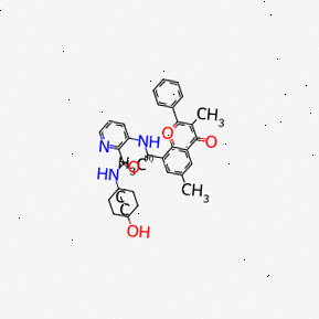 Cc1cc([C@@H](C)Nc2cccnc2C(=O)NC23CCC(O)(CC2)CC3)c2oc(-c3ccccc3)c(C)c(=O)c2c1